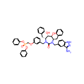 Nc1n[nH]c2ccc(CN3C(=O)N(Cc4cccc(OCP(=O)(Oc5ccccc5)Oc5ccccc5)c4)[C@H](Cc4ccccc4)[C@H](O)[C@@H](O)[C@H]3Cc3ccccc3)cc12